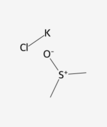 C[S+](C)[O-].[Cl][K]